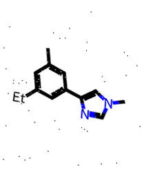 CCc1cc(C)cc(-c2cn(C)cn2)c1